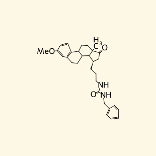 COc1ccc2c(c1)CCC1C2CC[C@]2(C)C(=O)C[C@@H](CCCNC(=O)NCc3ccccc3)C12